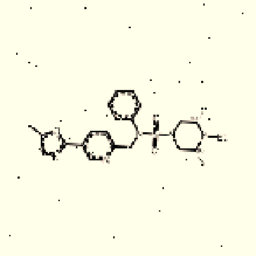 CCN1[C@H](C)CN(S(=O)(=O)N(Cc2ccc(-c3nnc(C)o3)cn2)c2ccccc2)C[C@@H]1C